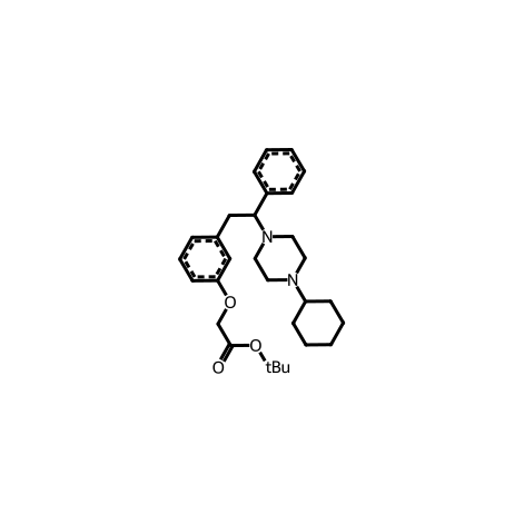 CC(C)(C)OC(=O)COc1cccc(CC(c2ccccc2)N2CCN(C3CCCCC3)CC2)c1